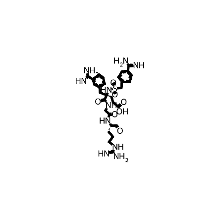 N=C(N)NCCC[C@@H](C=O)NC(=O)CNC(=O)[C@](CCC(=O)O)(Cc1cccc(C(=N)N)c1)NS(=O)(=O)Cc1ccc(C(=N)N)cc1